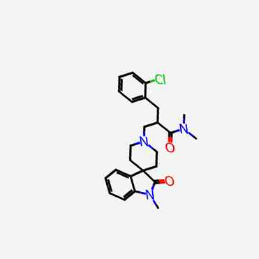 CN(C)C(=O)C(Cc1ccccc1Cl)CN1CCC2(CC1)C(=O)N(C)c1ccccc12